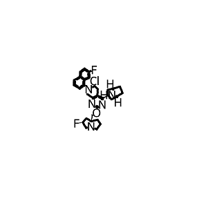 Fc1ccc2cccc(N3CCc4c(nc(OC[C@@]56CCCN5C[C@H](F)C6)nc4[C@@H]4C[C@H]5CC[C@@H](C4)N5)C3)c2c1Cl